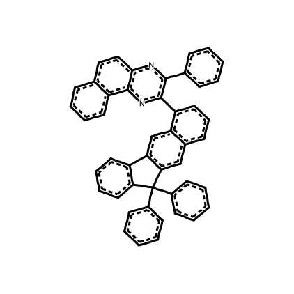 c1ccc(-c2nc3ccc4ccccc4c3nc2-c2cccc3cc4c(cc23)-c2ccccc2C4(c2ccccc2)c2ccccc2)cc1